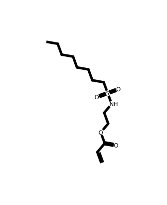 C=CC(=O)OCCNS(=O)(=O)CCCCCCCC